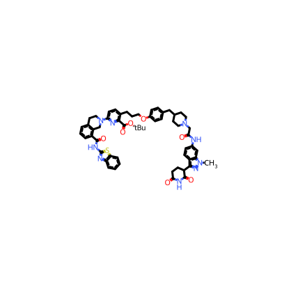 Cn1nc(C2CCC(=O)NC2=O)c2ccc(NC(=O)CN3CCC(Cc4ccc(OCCCc5ccc(N6CCc7cccc(C(=O)Nc8nc9ccccc9s8)c7C6)nc5C(=O)OC(C)(C)C)cc4)CC3)cc21